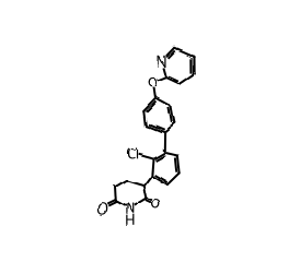 O=C1CCC(c2cccc(-c3ccc(Oc4ccccn4)cc3)c2Cl)C(=O)N1